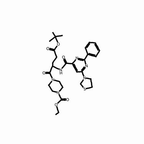 CCOC(=O)N1CCN(C(=O)C(CCC(=O)OC(C)(C)C)NC(=O)c2cc(N3CCSC3)nc(-c3ccccc3)n2)CC1